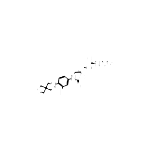 CNC(=O)OC[C@H]1CN(c2ccc(N3CC4(CSC4)C3)c(F)c2)C(=O)O1